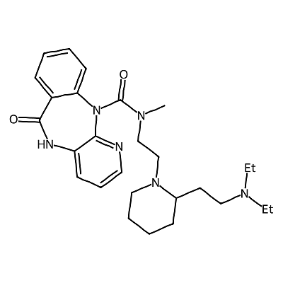 CCN(CC)CCC1CCCCN1CCN(C)C(=O)N1c2ccccc2C(=O)Nc2cccnc21